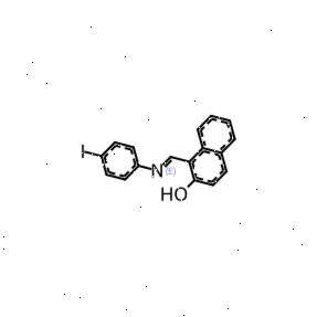 Oc1ccc2ccccc2c1/C=N/c1ccc(I)cc1